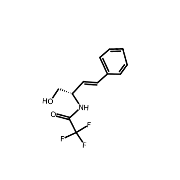 O=C(N[C@@H](C=Cc1ccccc1)CO)C(F)(F)F